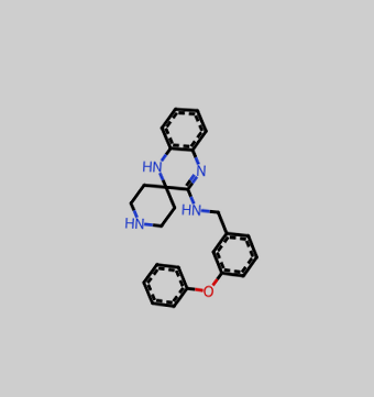 c1ccc(Oc2cccc(CNC3=Nc4ccccc4NC34CCNCC4)c2)cc1